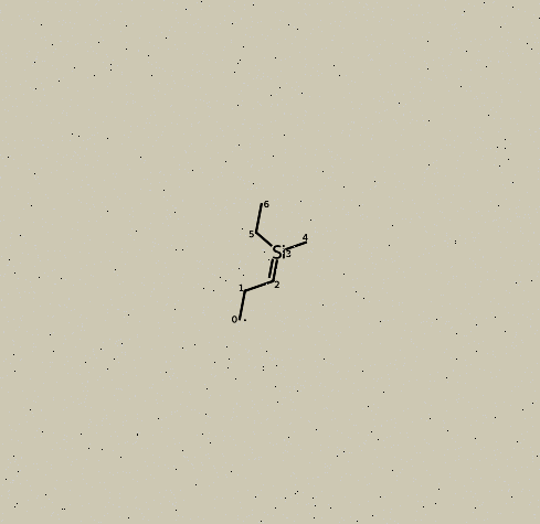 [CH2]CC=[Si](C)CC